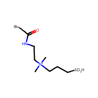 CCC(C)C(=O)NCC[N+](C)(C)CCCS(=O)(=O)O